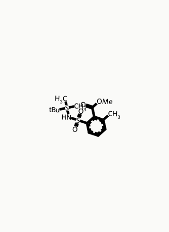 COC(=O)c1c(C)cccc1S(=O)(=O)NS(C)(C)C(C)(C)C